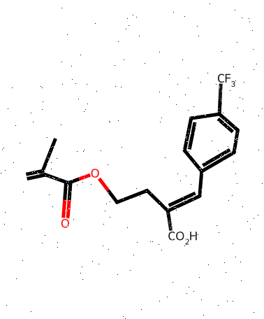 C=C(C)C(=O)OCCC(=Cc1ccc(C(F)(F)F)cc1)C(=O)O